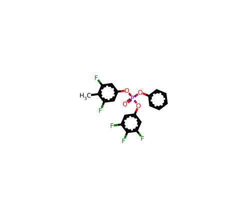 Cc1c(F)cc(OP(=O)(Oc2ccccc2)Oc2cc(F)c(F)c(F)c2)cc1F